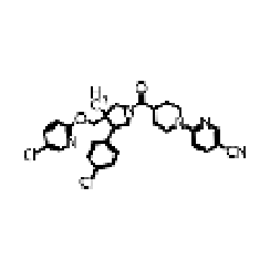 CC1(COc2ccc(Cl)cn2)CN(C(=O)C2CCN(c3ccc(C#N)cn3)CC2)CC1c1ccc(Cl)cc1